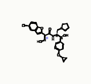 O=C(N[C@H](CN1CCCC1)[C@H](O)c1ccc(OC2CC2)nc1)/C(=N/O)c1cc2cc(Cl)ccc2o1